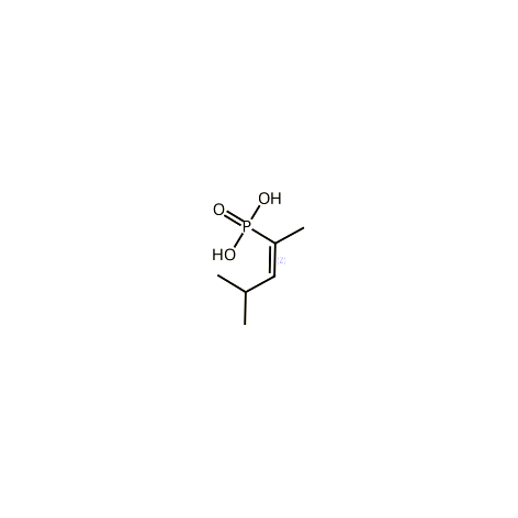 C/C(=C/C(C)C)P(=O)(O)O